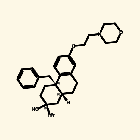 CCC[C@@]1(O)CC[C@@]2(Cc3ccccc3)c3ccc(OCCN4CCOCC4)cc3CC[C@@H]2C1